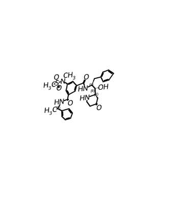 C[C@@H](NC(=O)c1cc(C(=O)N[C@@H](Cc2ccccc2)[C@H](O)[C@H]2CC(=O)CCN2)cc(N(C)S(C)(=O)=O)c1)c1ccccc1